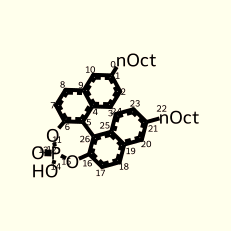 CCCCCCCCc1ccc2c3c(ccc2c1)OP(=O)(O)Oc1ccc2cc(CCCCCCCC)ccc2c1-3